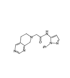 CC(C)n1nccc1NC(=O)CN1CCc2cncnc2C1